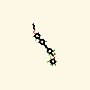 CCCCOc1ccc(-c2ccc(C#Cc3cc(F)c(C(F)(F)Oc4cc(F)c(F)c(F)c4)c(F)c3)cc2)c(F)c1